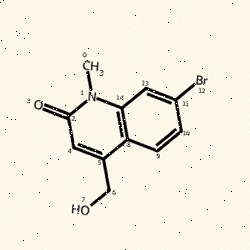 Cn1c(=O)cc(CO)c2ccc(Br)cc21